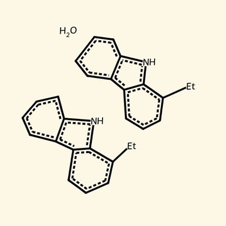 CCc1cccc2c1[nH]c1ccccc12.CCc1cccc2c1[nH]c1ccccc12.O